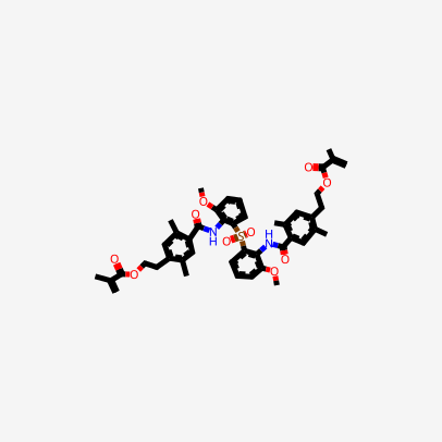 C=C(C)C(=O)OCCc1cc(C)c(C(=O)Nc2c(OC)cccc2S(=O)(=O)c2cccc(OC)c2NC(=O)c2cc(C)c(CCOC(=O)C(=C)C)cc2C)cc1C